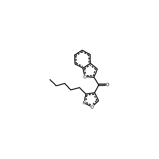 CCCCCc1nocc1C(=O)c1cc2ccccc2o1